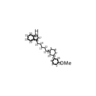 COc1cccc(C2CCCN(CCCCCc3c[nH]c4ccccc34)C2)c1